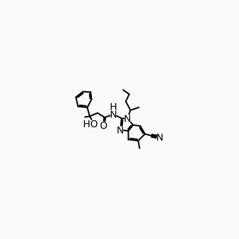 CCCC(C)n1c(NC(=O)CC(C)(O)c2ccccc2)nc2cc(C)c(C#N)cc21